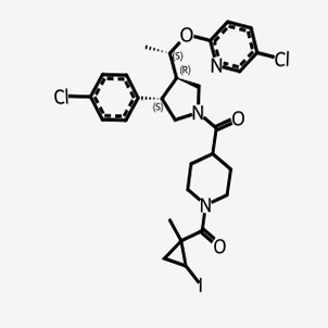 C[C@H](Oc1ccc(Cl)cn1)[C@H]1CN(C(=O)C2CCN(C(=O)C3(C)CC3I)CC2)C[C@@H]1c1ccc(Cl)cc1